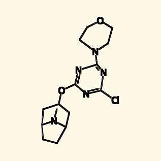 CN1C2CCC1CC(Oc1nc(Cl)nc(N3CCOCC3)n1)C2